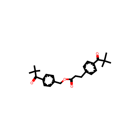 CC(C)(C)C(=O)c1ccc(CCC(=O)OCc2ccc(C(=O)C(C)(C)C)cc2)cc1